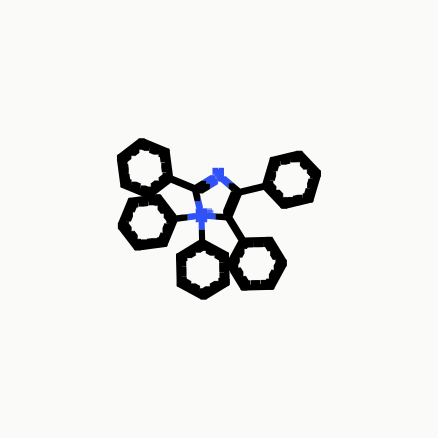 c1ccc(C2=NC(c3ccccc3)=C(c3ccccc3)[N+]2(c2ccccc2)c2ccccc2)cc1